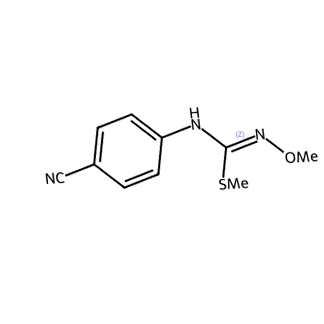 CO/N=C(/Nc1ccc(C#N)cc1)SC